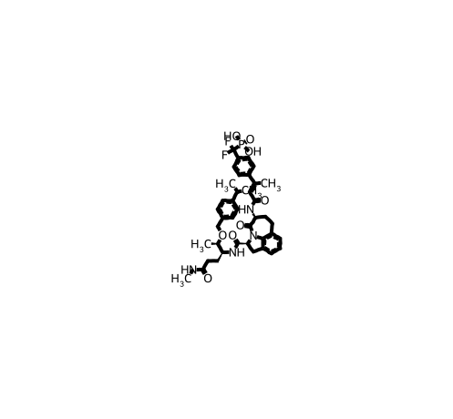 CNC(=O)CC[C@H](NC(=O)[C@@H]1Cc2cccc3c2N1C(=O)[C@@H](NC(=O)/C=C(\C)c1ccc(C(F)(F)P(=O)(O)O)cc1)CC3)[C@@H](C)OCc1ccc(C(C)C)cc1